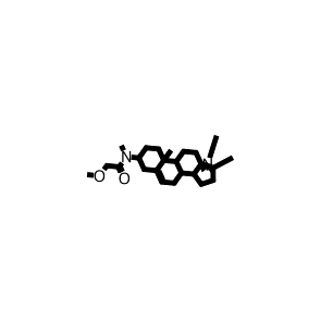 COCC(=O)N(C)C1CCC2(C)C(=CCC3C2CCC24CN(C)C(C)C2CCC34)C1